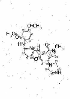 COc1ccc(Nc2ncc(Cl)c(Nc3ccc(N4CCNCC4)c4c3C(=O)N(C)C4)n2)c(OC)c1